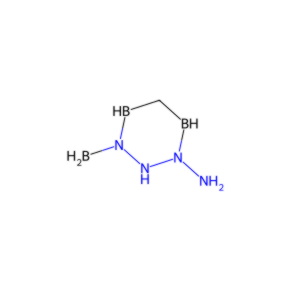 BN1BCBN(N)N1